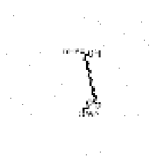 CCCCCCC(O)CCCCCCCCCCC(=O)OCCOC